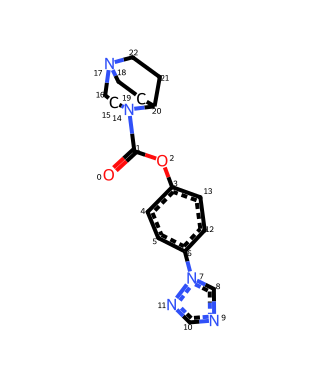 O=C(Oc1ccc(-n2cncn2)cc1)N1CCN2CCC1CC2